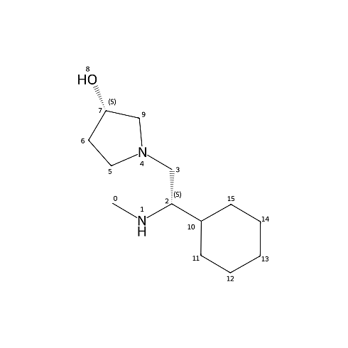 CN[C@H](CN1CC[C@H](O)C1)C1CCCCC1